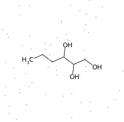 CCCC(O)C(O)[CH]O